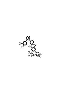 C=CC(=O)Nc1cc(Nc2cc(N3OCC[C@@H]3c3ccc(Cl)c(Cl)c3)ncn2)c(OC)cc1N1C[C@H]2C[C@@H]1CN2C